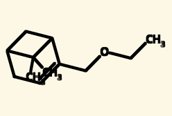 CCOCC1=CCC2CC1C2(C)C